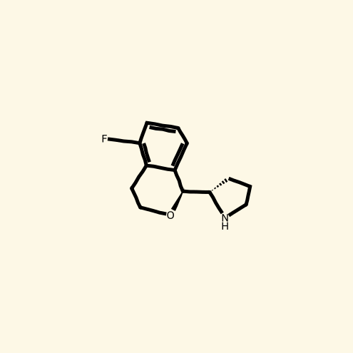 Fc1cccc2c1CCO[C@@H]2[C@@H]1CCCN1